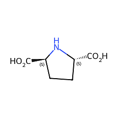 O=C(O)[C@@H]1CC[C@@H](C(=O)O)N1